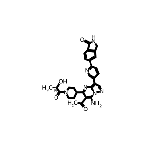 CC(=O)c1c(C2CCN(C(=O)[C@@H](C)O)CC2)nc2c(-c3ccc(-c4ccc5c(c4)CNC5=O)nc3)cnn2c1N